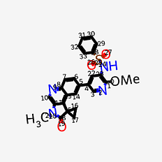 COc1ncc(-c2ccc3ncc4c(c3c2)C2(CC2)C(=O)N4C)cc1NS(=O)(=O)c1ccccc1